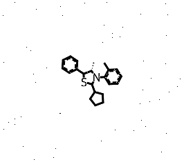 Cc1ccccc1N1C(C2CCCC2)SC(c2ccccc2)[C@@H]1C